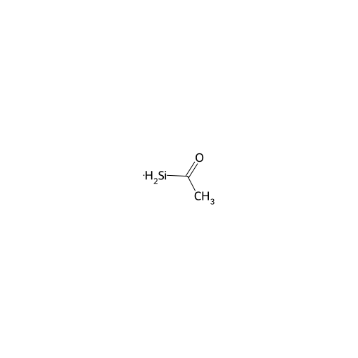 CC(=O)[SiH2]